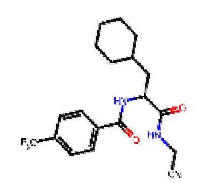 N#CCNC(=O)[C@H](CC1CCCCC1)NC(=O)c1ccc(C(F)(F)F)cc1